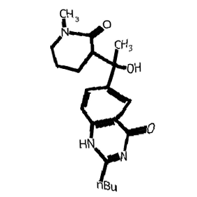 CCCCc1nc(=O)c2cc(C(C)(O)C3CCCN(C)C3=O)ccc2[nH]1